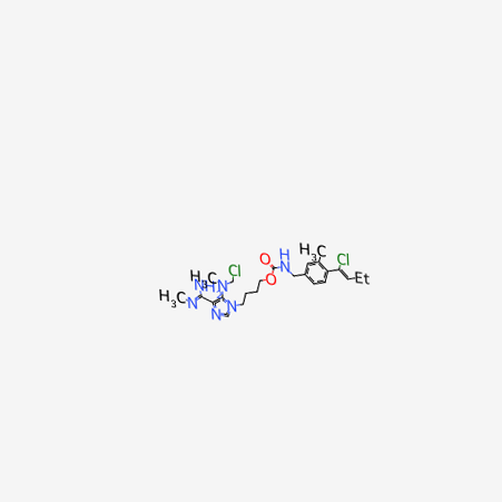 CCC=C(Cl)c1ccc(CNC(=O)OCCCCn2cnc(C(N)=NC)c2N(C)CCl)cc1C